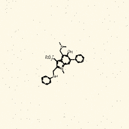 CCOC(=O)c1c(CNc2ccccc2)n(C)c2cc(-c3ccccc3)c(O)c(CN(C)C)c12